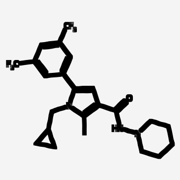 Cc1c(C(=O)NN2CCCCC2)cc(-c2cc(C(F)(F)F)cc(C(F)(F)F)c2)n1CC1CC1